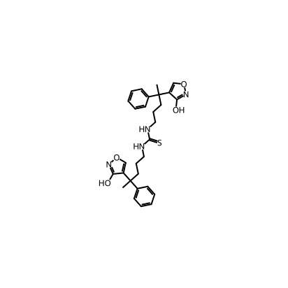 CC(CCCNC(=S)NCCCC(C)(c1ccccc1)c1conc1O)(c1ccccc1)c1conc1O